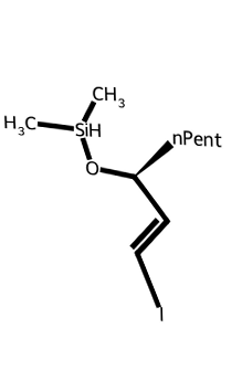 CCCCC[C@@H](/C=C/I)O[SiH](C)C